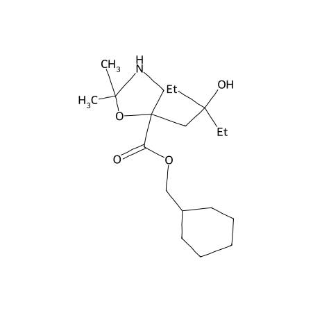 CCC(O)(CC)CC1(C(=O)OCC2CCCCC2)CNC(C)(C)O1